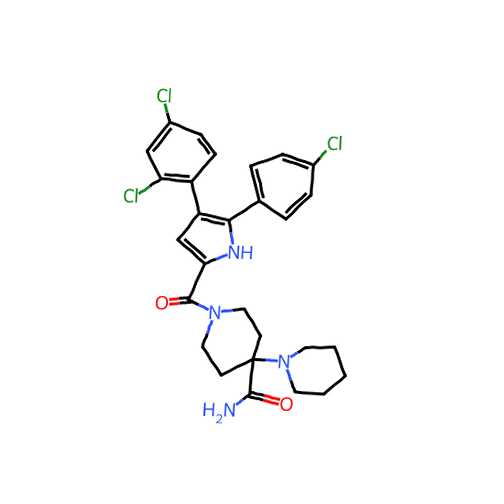 NC(=O)C1(N2CCCCC2)CCN(C(=O)c2cc(-c3ccc(Cl)cc3Cl)c(-c3ccc(Cl)cc3)[nH]2)CC1